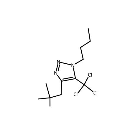 CCCCn1nnc(CC(C)(C)C)c1C(Cl)(Cl)Cl